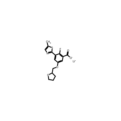 Cc1cnc(-c2cc(OCC3CCCO3)cc(C(=O)[O-])c2F)s1.[Li+]